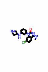 CN(C)c1nc(=O)n(-c2cccc(NC3CCNC3)c2)c2cc(Cl)ccc12